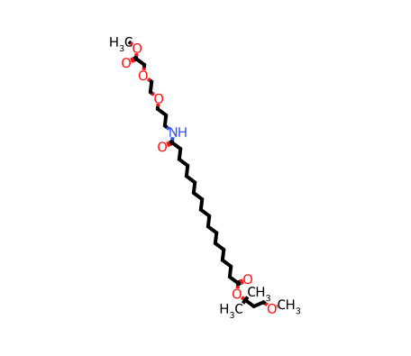 COCCC(C)(C)OC(=O)CCCCCCCCCCCCCCCCC(=O)NCCCOCCOCC(=O)OC